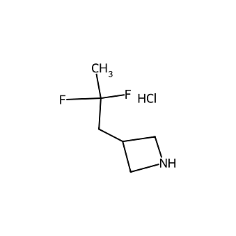 CC(F)(F)CC1CNC1.Cl